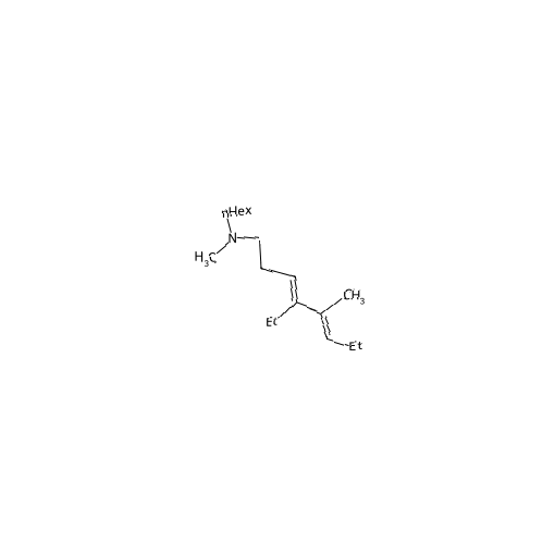 CC/C=C(C)/C(=C/CCN(C)CCCCCC)CC